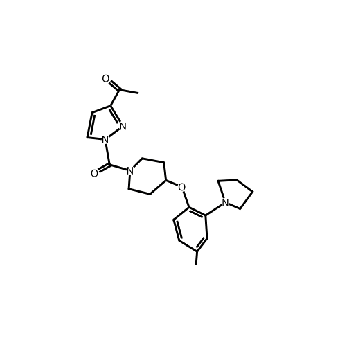 CC(=O)c1ccn(C(=O)N2CCC(Oc3ccc(C)cc3N3CCCC3)CC2)n1